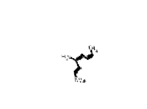 C\C=C/C=C(N)\C=C\NC